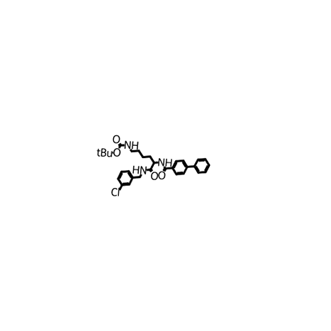 CC(C)(C)OC(=O)NCCCCC(NC(=O)c1ccc(-c2ccccc2)cc1)C(=O)NCc1cccc(Cl)c1